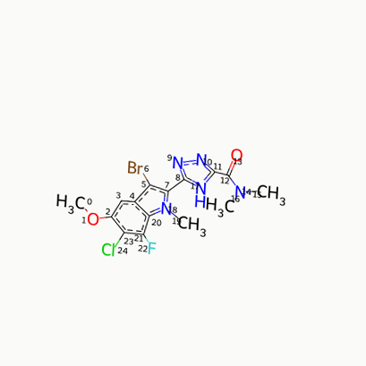 COc1cc2c(Br)c(-c3nnc(C(=O)N(C)C)[nH]3)n(C)c2c(F)c1Cl